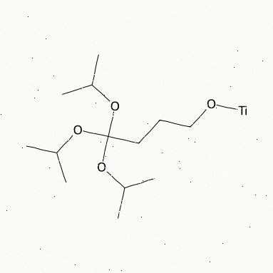 CC(C)OC(CCC[O][Ti])(OC(C)C)OC(C)C